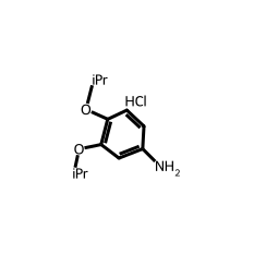 CC(C)Oc1ccc(N)cc1OC(C)C.Cl